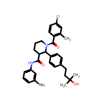 Cc1cc(Cl)ccc1C(=O)N1CCCC(C(=O)Nc2cccc(C(C)(C)C)c2)C1c1ccc(CCC(C)(C)O)cc1